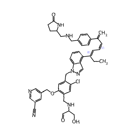 C=C(/C=C\C=C(/CC)c1cccc2c1cnn2Cc1cc(OCc2cncc(C#N)c2)c(CNC(C=O)CO)cc1Cl)c1ccc(CNCC2CCC(=O)N2)cc1